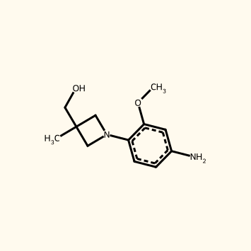 COc1cc(N)ccc1N1CC(C)(CO)C1